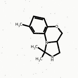 Cc1ccc2c(c1)N1C(CNC1(C)C)CO2